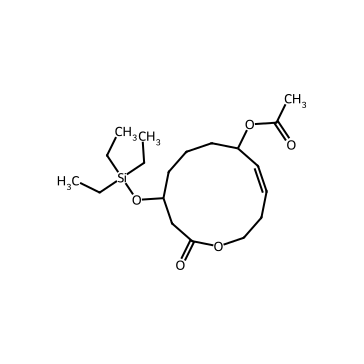 CC[Si](CC)(CC)OC1CCCC(OC(C)=O)C=CCCOC(=O)C1